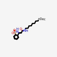 CCCCCCCCCCCCCCCCCCNC(=O)C=C1NS(=O)(=O)c2ccccc21